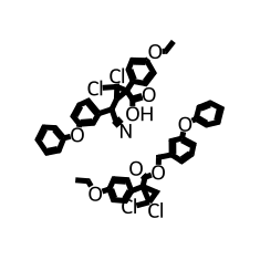 CCOc1ccc(C2(C(=O)O)C(C(C#N)c3cccc(Oc4ccccc4)c3)C2(Cl)Cl)cc1.CCOc1ccc(C2(C(=O)OCc3cccc(Oc4ccccc4)c3)CC2(Cl)Cl)cc1